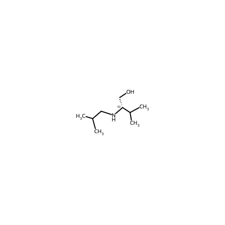 CC(C)CN[C@H](CO)C(C)C